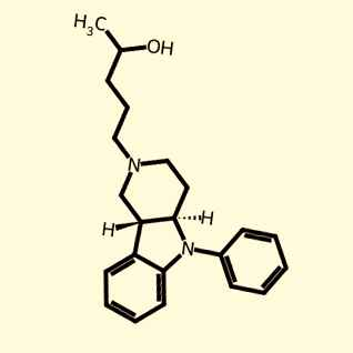 CC(O)CCCN1CC[C@@H]2[C@@H](C1)c1ccccc1N2c1ccccc1